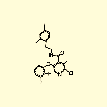 Cc1ccc(CCNC(=O)c2c(Oc3cccc(C)c3F)cnc(Cl)c2C)c(C)c1